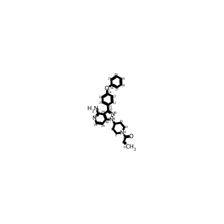 C=CC(=O)N1CCC(n2nc(-c3ccc(Oc4ccccc4)cc3)c3c(N)nccc32)CC1